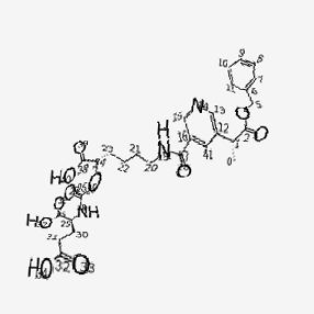 C[C@@H](C(=O)OCc1ccccc1)c1cncc(C(=O)NCCCC[C@H](OC(=O)N[C@@H](CCC(=O)O)C(=O)O)C(=O)O)c1